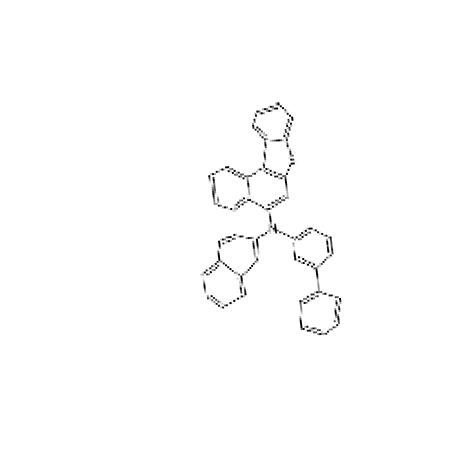 c1ccc(-c2cccc(N(c3ccc4ccccc4c3)c3cc4sc5ccccc5c4c4ccccc34)c2)cc1